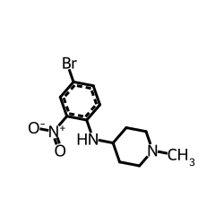 CN1CCC(Nc2ccc(Br)cc2[N+](=O)[O-])CC1